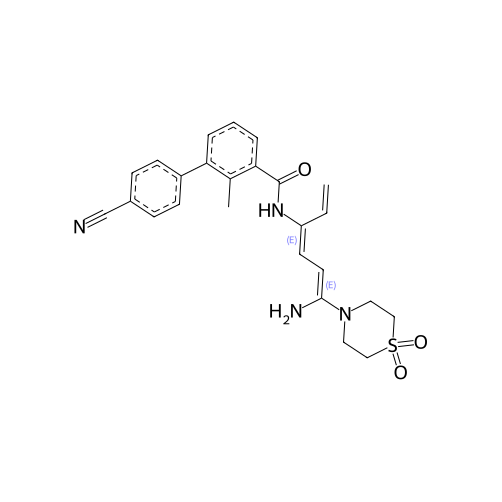 C=C/C(=C\C=C(/N)N1CCS(=O)(=O)CC1)NC(=O)c1cccc(-c2ccc(C#N)cc2)c1C